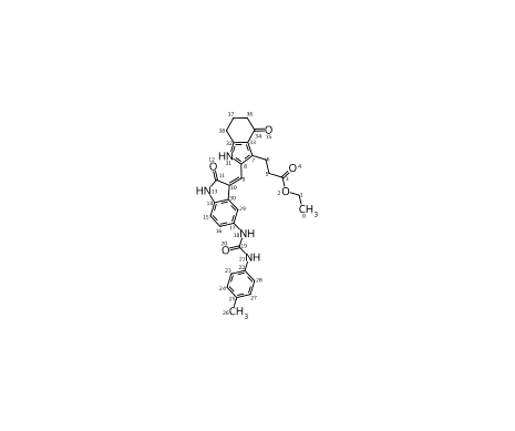 CCOC(=O)CCc1c(C=C2C(=O)Nc3ccc(NC(=O)Nc4ccc(C)cc4)cc32)[nH]c2c1C(=O)CCC2